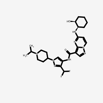 CC(C)N1CCC(n2cc(NC(=O)c3cnn4ccc(N[C@@H]5CCCC[C@@H]5O)nc34)c(C(F)F)n2)CC1